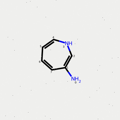 NC1=CNC=CC=C1